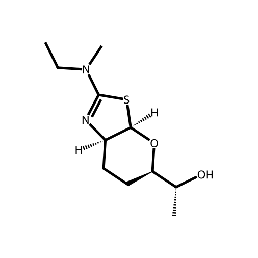 CCN(C)C1=N[C@@H]2CC[C@H]([C@@H](C)O)O[C@@H]2S1